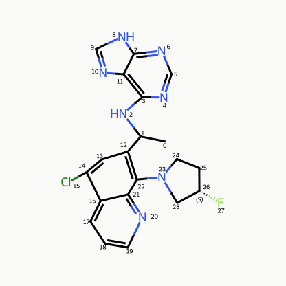 CC(Nc1ncnc2[nH]cnc12)c1cc(Cl)c2cccnc2c1N1CC[C@H](F)C1